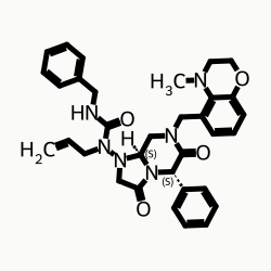 C=CCN(C(=O)NCc1ccccc1)N1CC(=O)N2[C@@H](c3ccccc3)C(=O)N(Cc3cccc4c3N(C)CCO4)C[C@@H]21